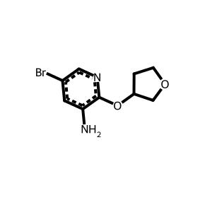 Nc1cc(Br)cnc1OC1CCOC1